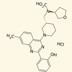 Cc1ccc2c(N3CCC[C@@H](CN(C(=O)O)[C@H]4CCOC4)C3)nc(-c3ccccc3O)nc2c1.Cl